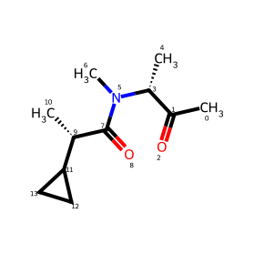 CC(=O)[C@@H](C)N(C)C(=O)[C@@H](C)C1CC1